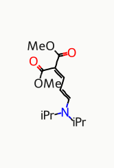 COC(=O)C(=CC=CN(C(C)C)C(C)C)C(=O)OC